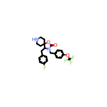 O=C1OC2(CCNCC2)C(Cc2ccc(F)cc2)N1Cc1ccc(OC(F)(F)F)cc1